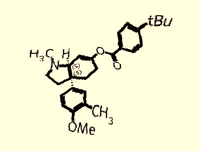 COc1ccc([C@@]23CCC(OC(=O)c4ccc(C(C)(C)C)cc4)=C[C@@H]2N(C)CC3)cc1C